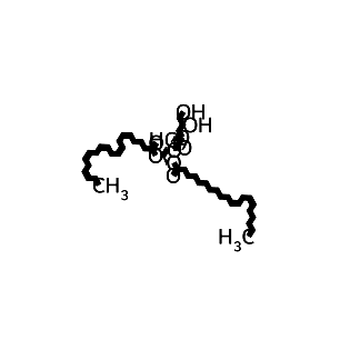 CC/C=C\C/C=C\C/C=C\C/C=C\C/C=C\CCCC(=O)O[C@H](COC(=O)CCCCCCCCC/C=C\C/C=C\CCCCC)COP(=O)(O)OC[C@@H](O)CO